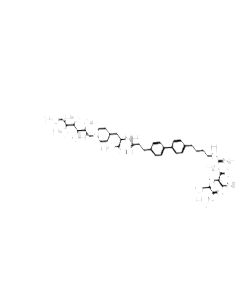 N=C(NCCCCc1ccc(-c2ccc(CCC(=O)NC(CC3CCN(CC(O)C(O)C(O)C(O)CO)CC3)C(=O)O)cc2)cc1)NC(=O)c1nc(Cl)c(N)nc1N